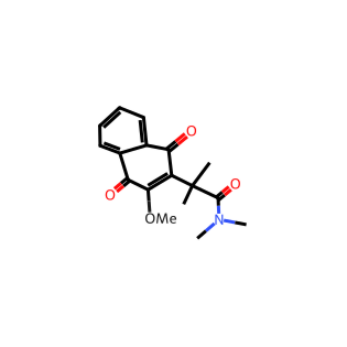 COC1=C(C(C)(C)C(=O)N(C)C)C(=O)c2ccccc2C1=O